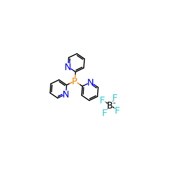 F[B-](F)(F)F.c1ccc(P(c2ccccn2)c2ccccn2)nc1